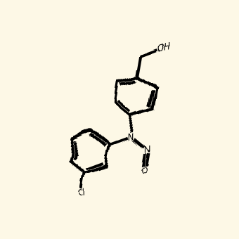 O=NN(c1ccc(CO)cc1)c1cccc(Cl)c1